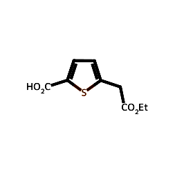 CCOC(=O)Cc1ccc(C(=O)O)s1